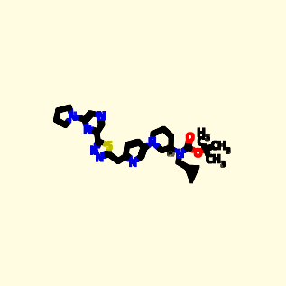 CC(C)(C)OC(=O)N(CC1CC1)[C@@H]1CCCN(c2ccc(Cc3nnc(-c4cncc(N5CCCC5)n4)s3)nc2)C1